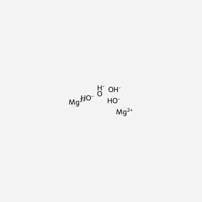 [Mg+2].[Mg+2].[OH-].[OH-].[OH-].[OH-]